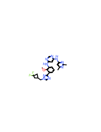 COc1c(Nc2cc(Nc3cc(C)nc(C)n3)ncn2)cccc1-c1ncn(CC2CC(F)(F)C2)n1